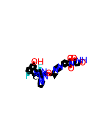 C#Cc1c(F)ccc2cc(O)cc(-c3ncc4c(N5CC6CCC(C5)N6)nc(OCC5(CN6CCN(c7ccc8c(c7)C(=O)N(C7CCC(=O)NC7=O)C8=O)CC6)CC5)nc4c3F)c12